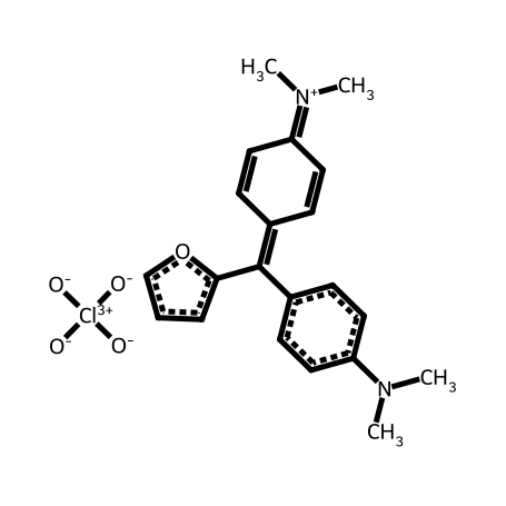 CN(C)c1ccc(C(=C2C=CC(=[N+](C)C)C=C2)c2ccco2)cc1.[O-][Cl+3]([O-])([O-])[O-]